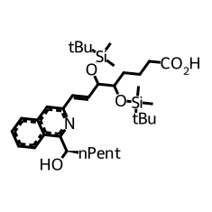 CCCCC[C@@H](O)c1nc(/C=C/C(O[Si](C)(C)C(C)(C)C)C(CCCC(=O)O)O[Si](C)(C)C(C)(C)C)cc2ccccc12